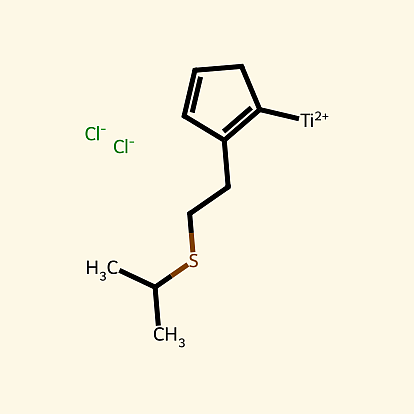 CC(C)SCCC1=[C]([Ti+2])CC=C1.[Cl-].[Cl-]